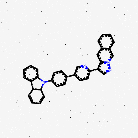 C1=CC2c3ccccc3N(c3ccc(-c4ccc(-c5cnn6cc7ccccc7cc56)nc4)cc3)C2C=C1